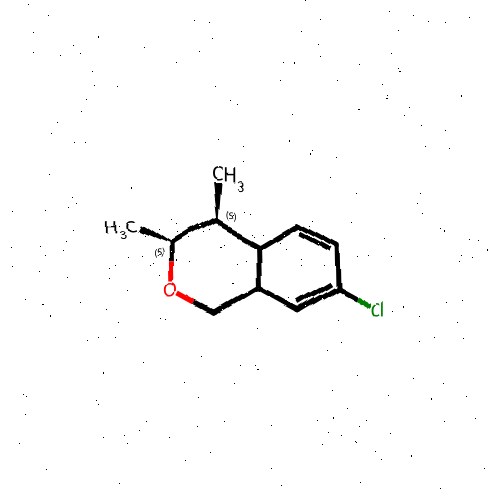 C[C@@H]1OCC2C=C(Cl)C=CC2[C@@H]1C